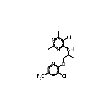 Cc1nc(C)c(Cl)c(NC(C)COc2ncc(C(F)(F)F)cc2Cl)n1